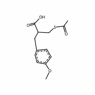 COc1ccc(CC(CSC(C)=O)C(=O)O)cc1